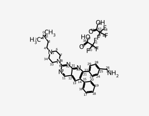 CN(C)CCN1CCN(c2ncc3cc(-c4ccccc4)c(-c4ccc(CN)cc4)nc3n2)CC1.O=C(O)C(F)(F)F.O=C(O)C(F)(F)F